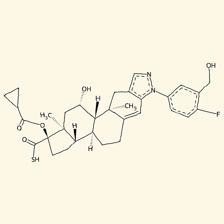 C[C@]12Cc3cnn(-c4ccc(F)c(CO)c4)c3C=C1CC[C@@H]1[C@@H]2[C@@H](O)C[C@@]2(C)[C@H]1CC[C@]2(OC(=O)C1CC1)C(=O)S